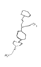 CCCOC1CCC(C2CCC(C(CCC)CCCC3CCCCC3)CC2)CC1